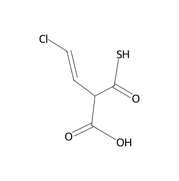 O=C(O)C(C=CCl)C(=O)S